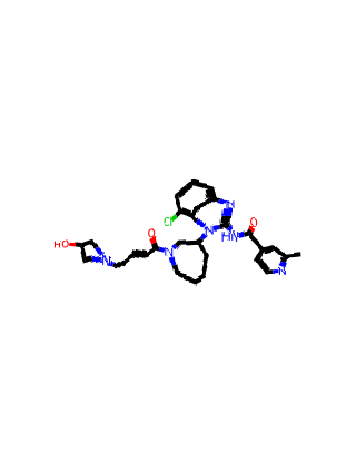 Cc1cc(C(=O)Nc2nc3cccc(Cl)c3n2C2CCCCN(C(=O)/C=C/CN3CC(O)C3)C2)ccn1